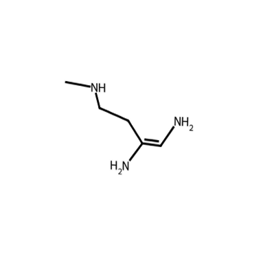 CNCC/C(N)=C\N